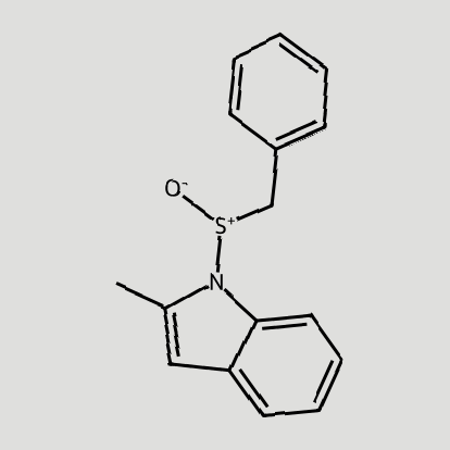 Cc1cc2ccccc2n1[S+]([O-])Cc1ccccc1